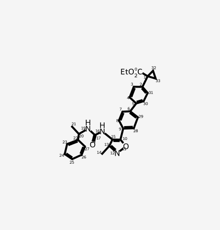 CCOC(=O)C1(c2ccc(-c3ccc(-c4onc(C)c4NC(=O)NC(C)c4ccccc4)cc3)cc2)CC1